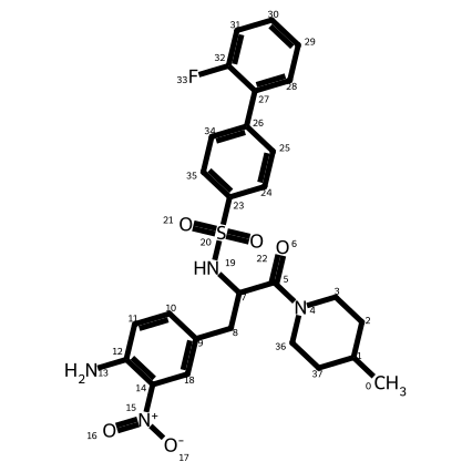 CC1CCN(C(=O)C(Cc2ccc(N)c([N+](=O)[O-])c2)NS(=O)(=O)c2ccc(-c3ccccc3F)cc2)CC1